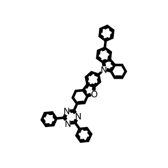 C1=Cc2c(c3cc(-c4ccccc4)ccc3n2-c2ccc3c4c(oc3c2)C=C(c2nc(-c3ccccc3)nc(-c3ccccc3)n2)CC4)CC1